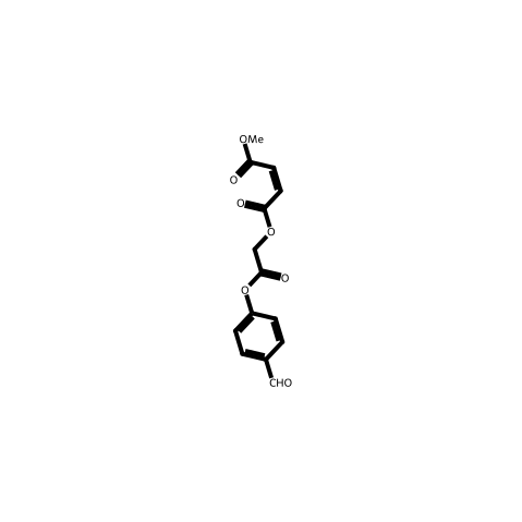 COC(=O)/C=C\C(=O)OCC(=O)Oc1ccc(C=O)cc1